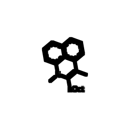 CCCCCCCCC1=C(C)c2cccc3cccc(c23)N1C